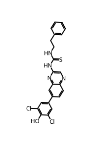 Oc1c(Cl)cc(-c2ccc3ncc(NC(=S)NCCc4ccccc4)nc3c2)cc1Cl